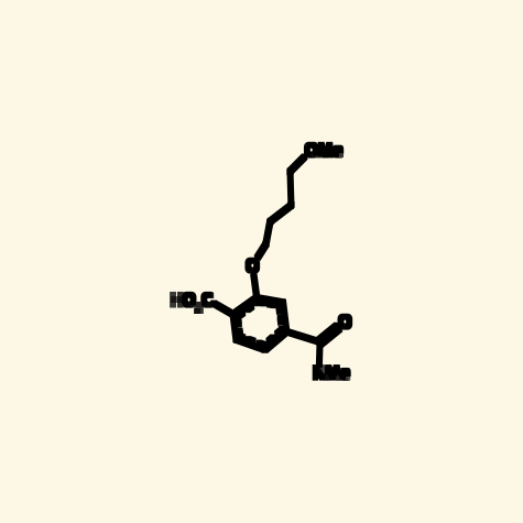 CNC(=O)c1ccc(C(=O)O)c(OCCCCOC)c1